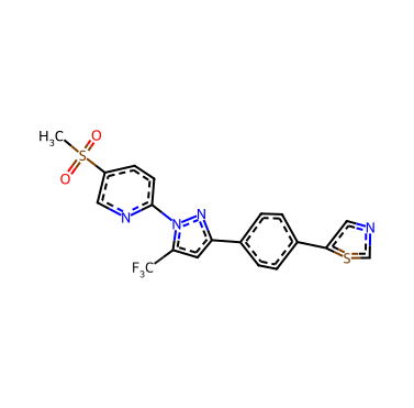 CS(=O)(=O)c1ccc(-n2nc(-c3ccc(-c4cncs4)cc3)cc2C(F)(F)F)nc1